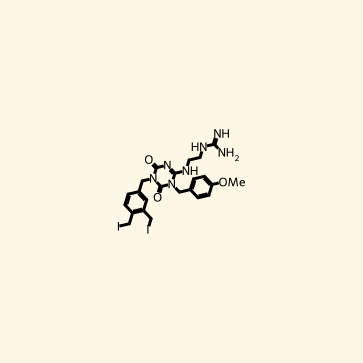 COc1ccc(Cn2c(NCCNC(=N)N)nc(=O)n(Cc3ccc(CI)c(CI)c3)c2=O)cc1